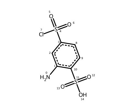 Nc1cc(S(=O)(=O)Cl)ccc1S(=O)(=O)O